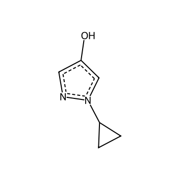 Oc1cnn(C2CC2)c1